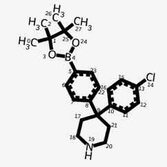 CC1(C)OB(c2ccc(C3(c4ccc(Cl)cc4)CCNCC3)cc2)OC1(C)C